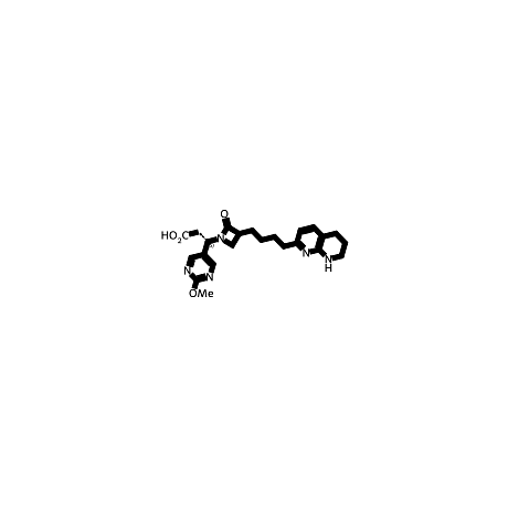 COc1ncc([C@H](CC(=O)O)N2CC(CCCCc3ccc4c(n3)NCCC4)C2=O)cn1